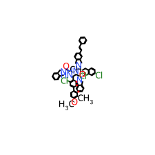 COc1ccc(-c2ccc(C(NC(C)C(=O)N3Cc4ccccc4C3)C(N[C@@H](CCc3ccc(Cl)cc3Cl)N3Cc4ccc(/C=C/c5ccccc5)cc4C3)C(=O)N3Cc4ccccc4C3)c(Cl)c2)cc1C